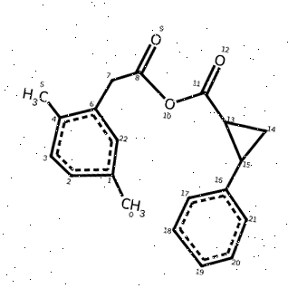 Cc1ccc(C)c(CC(=O)OC(=O)C2CC2c2ccccc2)c1